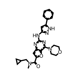 CN(CC1CC1)C(=O)c1cc2nc(Nc3cc(-c4ccccc4)[nH]n3)nc(N3CCOCC3)c2o1